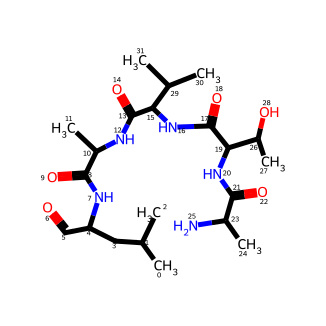 CC(C)CC(C=O)NC(=O)C(C)NC(=O)C(NC(=O)C(NC(=O)C(C)N)C(C)O)C(C)C